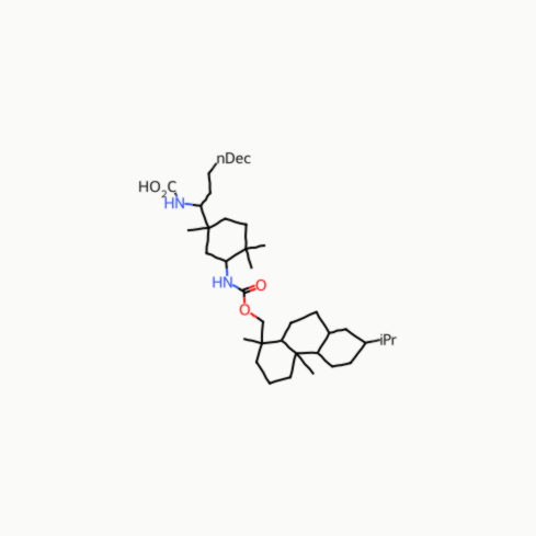 CCCCCCCCCCCCC(NC(=O)O)C1(C)CCC(C)(C)C(NC(=O)OCC2(C)CCCC3(C)C4CCC(C(C)C)CC4CCC23)C1